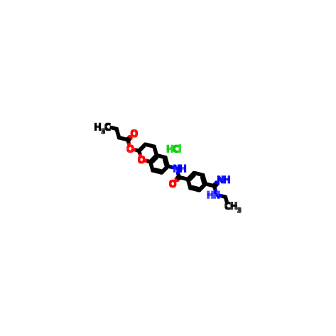 CCCC(=O)OC1CCc2cc(NC(=O)c3ccc(C(=N)NCC)cc3)ccc2O1.Cl